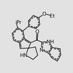 CCOc1ccc(-c2c(C(C)C)ccc3c2=C(C(=O)c2nc4ccccc4[nH]2)C2(C=3)CCCN2)cc1